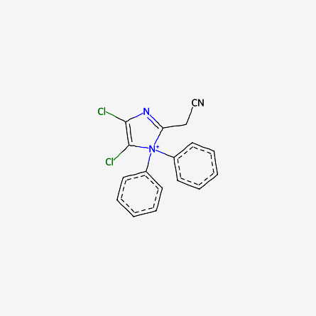 N#CCC1=NC(Cl)=C(Cl)[N+]1(c1ccccc1)c1ccccc1